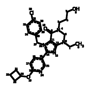 CCN1CN(CCCO)C(=O)c2c1nc(-c1ccc(OC3CCC3)nc1)n2Cc1ccc(Cl)cc1